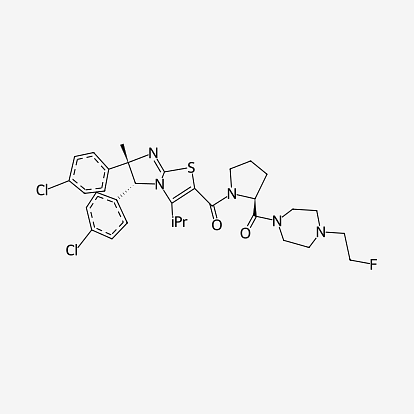 CC(C)C1=C(C(=O)N2CCC[C@H]2C(=O)N2CCN(CCF)CC2)SC2=N[C@@](C)(c3ccc(Cl)cc3)[C@@H](c3ccc(Cl)cc3)N21